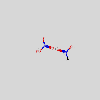 O=[N+]([O-])O.[C][N+](=O)[O-]